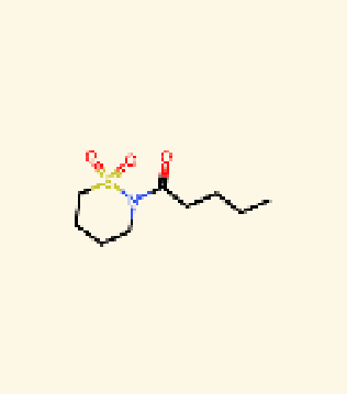 CCCCC(=O)N1CCCCS1(=O)=O